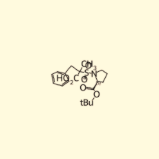 CC(C)(C)OC(=O)[C@@H]1CCCN1S(=O)(=O)C(C)(Cc1ccccc1)C(=O)O